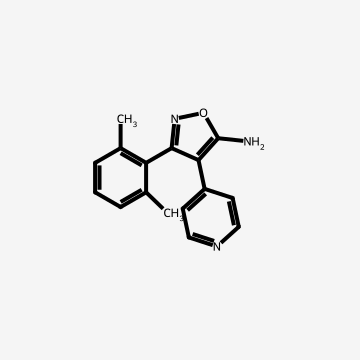 Cc1cccc(C)c1-c1noc(N)c1-c1ccncc1